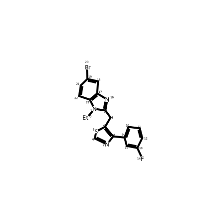 CCn1c(Cc2scnc2-c2cccc(F)c2)nc2cc(Br)ccc21